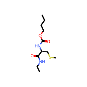 CCCCOC(=O)N[C@@H](CSC)C(=O)NCC